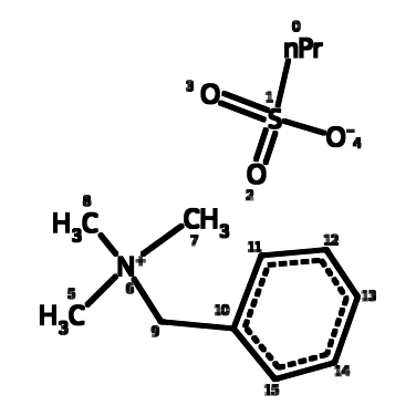 CCCS(=O)(=O)[O-].C[N+](C)(C)Cc1ccccc1